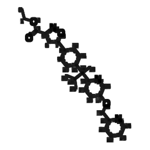 CCOC(=O)c1cc(-c2ccc(C(C)(c3ccc(OCc4ccccn4)cn3)C(C)C)cc2)on1